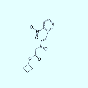 O=C(C=Cc1ccccc1[N+](=O)[O-])CC(=O)OC1CCC1